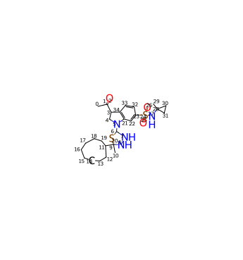 CC(=O)C1CN(C2NNC(C)(C3CCCCCCCC3)S2)c2cc(S(=O)(=O)NC3(C)CC3)ccc21